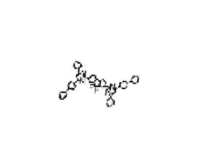 FC1(F)c2cc(-c3nc(-c4ccccc4)cc(-c4ccc(-c5ccccc5)cc4)n3)ccc2-c2ccc(-c3nc(-c4ccccc4)cc(-c4ccc(-c5ccccc5)cc4)n3)cc21